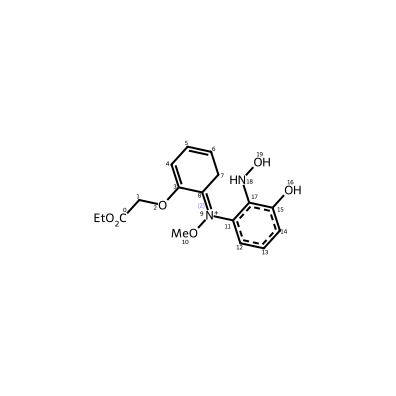 CCOC(=O)COC1=CC=CC/C1=[N+](/OC)c1cccc(O)c1NO